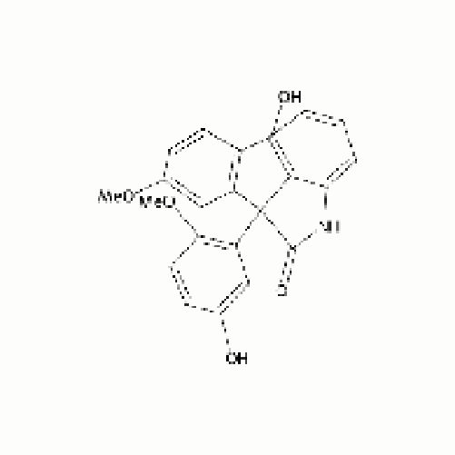 COc1ccc(CO)c(C2(c3cc(O)ccc3OC)C(=O)Nc3ccccc32)c1